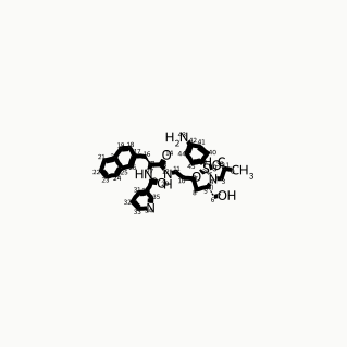 CC(C)CN([C@H](CO)CCCCNC(=O)[C@H](Cc1ccc2ccccc2c1)NC(=O)c1cccnc1)S(=O)(=O)c1ccc(N)cc1